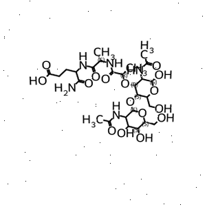 CC(=O)NC1C(O)[C@H](O)[C@H](CO)O[C@H]1O[C@@H]1C(CO)O[C@H](O)C(NC(C)=O)[C@H]1O[C@H](C)C(=O)N[C@@H](C)C(=O)NC(CCC(=O)O)C(N)=O